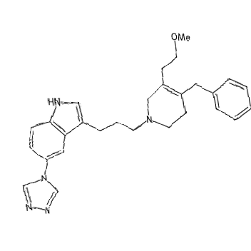 COCCC1=C(Cc2ccccc2)CCN(CCCc2c[nH]c3ccc(-n4cnnc4)cc23)C1